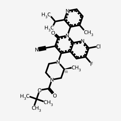 Cc1ccnc(C(C)C)c1-n1c(=O)c(C#N)c(N2CCN(C(=O)OC(C)(C)C)C[C@@H]2C)c2cc(F)c(Cl)nc21